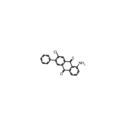 Nc1cccc2c1C(=S)c1cc(Cl)c(-c3ccccc3)cc1C2=O